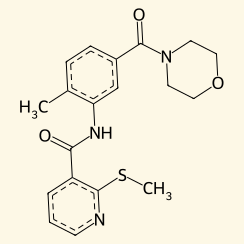 CSc1ncccc1C(=O)Nc1cc(C(=O)N2CCOCC2)ccc1C